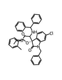 CCOC(=O)C(NC(c1ccccc1)c1ccccc1)[C@]1(OCc2ccccc2C)C(=O)N(Cc2ccccc2)c2cc(Cl)ccc21